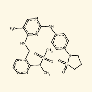 CN(c1ncccc1CNc1nc(Nc2ccc(N3CCCS3(=O)=O)cc2)ncc1C(F)(F)F)S(C)(=O)=O